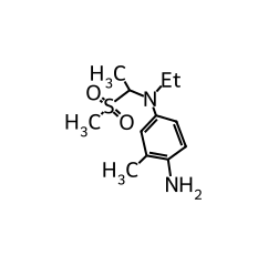 CCN(c1ccc(N)c(C)c1)C(C)S(C)(=O)=O